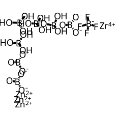 F[B-](F)(F)F.OB(O)O.OB(O)O.OB(O)O.OB(O)O.[O-]B([O-])[O-].[O-]B([O-])[O-].[O-]B([O-])[O-].[Zn+2].[Zn+2].[Zn+2].[Zr+4]